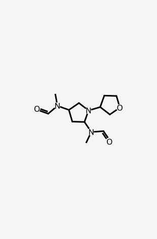 CN(C=O)C1CC(N(C)C=O)N(C2CCOC2)C1